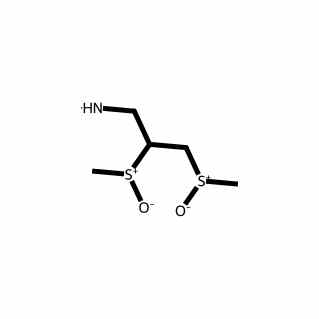 C[S+]([O-])CC(C[NH])[S+](C)[O-]